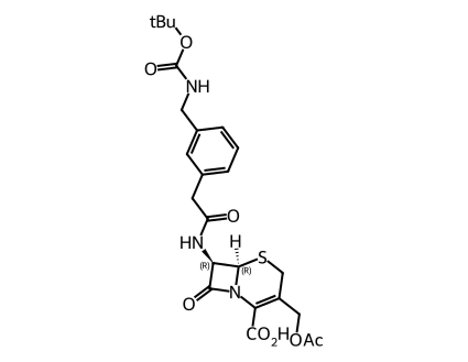 CC(=O)OCC1=C(C(=O)O)N2C(=O)[C@@H](NC(=O)Cc3cccc(CNC(=O)OC(C)(C)C)c3)[C@H]2SC1